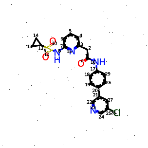 O=C(Cc1cccc(NS(=O)(=O)C2CC2)n1)Nc1ccc(-c2cncc(Cl)c2)cc1